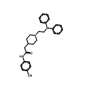 N#Cc1ccc(NC(=O)CC2CCN(CCN(c3ccccc3)c3ccccc3)CC2)cc1